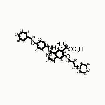 C=C(C(=O)O)c1cc2c(Nc3ccc(OCc4ccccc4)cc3)ncnc2cc1OCCCN1CCOCC1